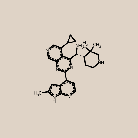 Cc1cc2c(-c3nc(C(N)[C@H]4CCNCC4(C)C)c4c(C5CC5)cncc4n3)ccnc2[nH]1